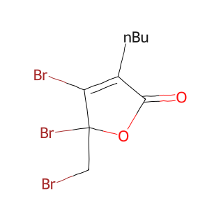 CCCCC1=C(Br)C(Br)(CBr)OC1=O